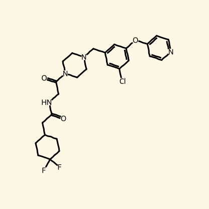 O=C(CC1CCC(F)(F)CC1)NCC(=O)N1CCN(Cc2cc(Cl)cc(Oc3ccncc3)c2)CC1